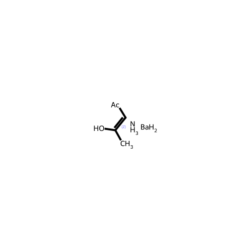 CC(=O)/C=C(/C)O.N.[BaH2]